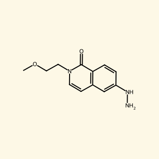 COCCn1ccc2cc(NN)ccc2c1=O